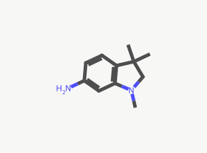 CN1CC(C)(C)c2ccc(N)cc21